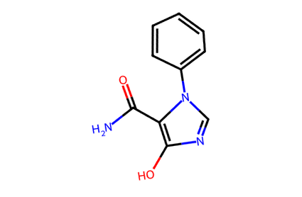 NC(=O)c1c(O)ncn1-c1ccccc1